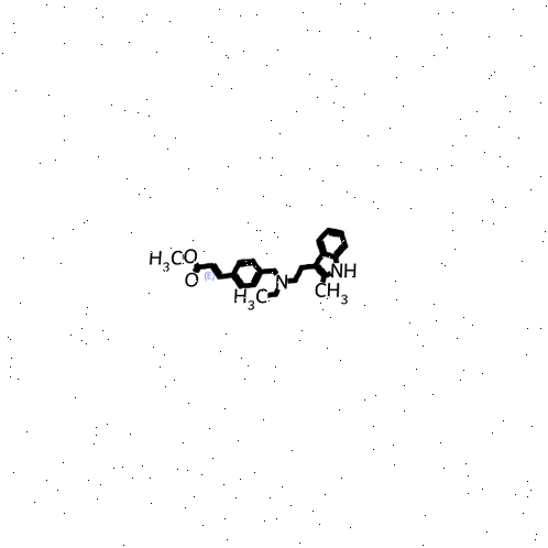 CCN(CCc1c(C)[nH]c2ccccc12)Cc1ccc(/C=C/C(=O)OC)cc1